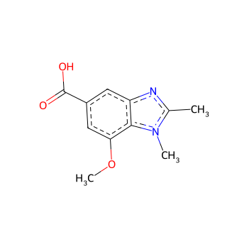 COc1cc(C(=O)O)cc2nc(C)n(C)c12